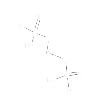 O=P(O)(O)OPOP(=O)(O)O